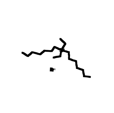 CCCCCCC[N+](CC)(CC)CCCCCCC.[Br-]